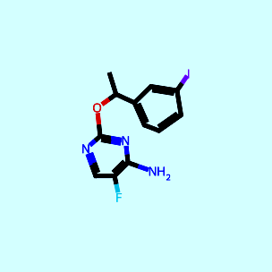 CC(Oc1ncc(F)c(N)n1)c1cccc(I)c1